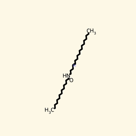 CCCCCCCCCCCCC/C=C/CCCNC(=O)CCCCCCCCCCCCC